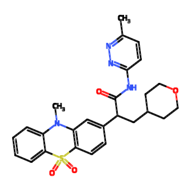 Cc1ccc(NC(=O)C(CC2CCOCC2)c2ccc3c(c2)N(C)c2ccccc2S3(=O)=O)nn1